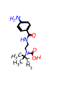 CC(C)(C)N(CCNC(=O)c1ccc(N)cc1)C(=O)O